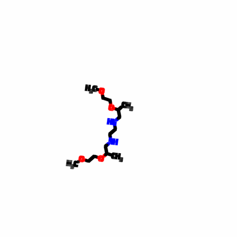 COCCOC(C)CNCCNCC(C)OCCOC